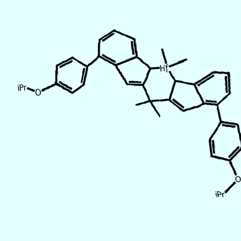 CC(C)Oc1ccc(-c2cccc3c2C=C2[CH]3[Hf]([CH3])([CH3])[CH]3C(=Cc4c(-c5ccc(OC(C)C)cc5)cccc43)C2(C)C)cc1